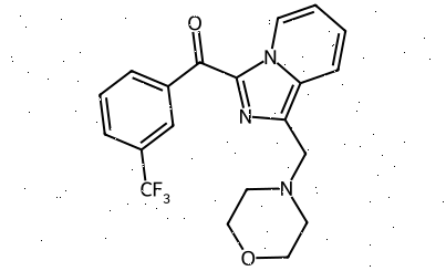 O=C(c1cccc(C(F)(F)F)c1)c1nc(CN2CCOCC2)c2ccccn12